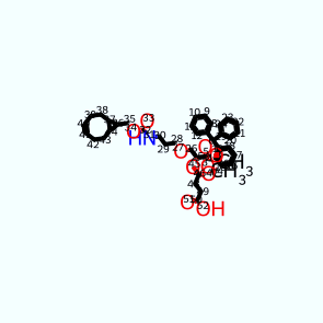 COC(OC)(OC(c1ccccc1)(c1ccccc1)c1ccccc1)C(COCCCNC(=O)OCC1C2CCC#CCCC21)OC(=O)CCC(=O)O